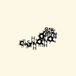 Cc1cc(NNc2ccc(NNc3ccc(N4CCCC4)s3)cc2C)ccc1/N=N\c1nc(S(=O)(=O)Cc2ccccc2)ns1